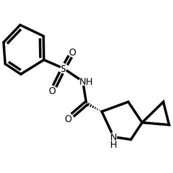 O=C(NS(=O)(=O)c1ccccc1)[C@@H]1CC2(CC2)CN1